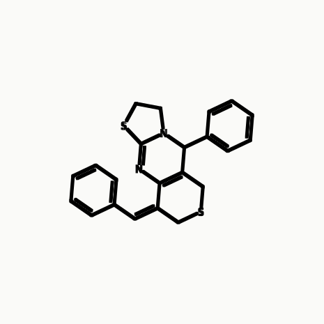 C(=C1\CSCC2=C1N=C1SCCN1C2c1ccccc1)/c1ccccc1